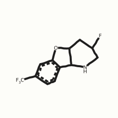 FC1CNC2c3ccc(C(F)(F)F)cc3OC2C1